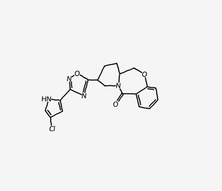 O=C1c2ccccc2OCC2CCC(c3nc(-c4cc(Cl)c[nH]4)no3)CN12